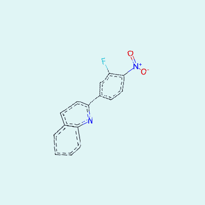 O=[N+]([O-])c1ccc(-c2ccc3ccccc3n2)cc1F